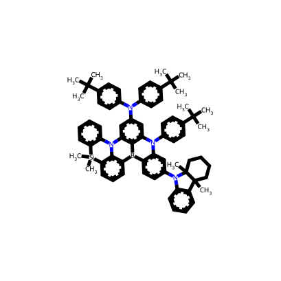 CC(C)(C)c1ccc(N(c2ccc(C(C)(C)C)cc2)c2cc3c4c(c2)N2c5ccccc5[Si](C)(C)c5cccc(c52)B4c2ccc(N4c5ccccc5C5(C)CCCCC45C)cc2N3c2ccc(C(C)(C)C)cc2)cc1